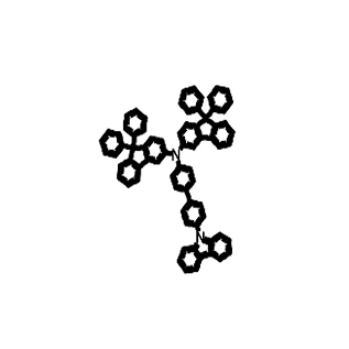 c1ccc(C2(c3ccccc3)c3ccccc3-c3cc(N(c4ccc(-c5ccc(-n6c7ccccc7c7ccccc76)cc5)cc4)c4ccc5c(c4)-c4ccccc4C5(c4ccccc4)c4ccccc4)ccc32)cc1